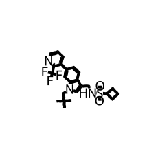 CC(C)(C)Cn1cc(CNS(=O)(=O)C2CCC2)c2ccc(-c3cccnc3C(F)(F)F)cc21